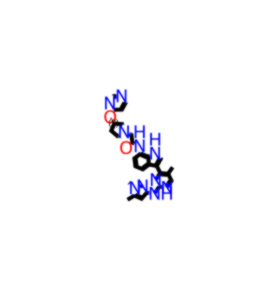 Cc1cnc(Nc2cc(C)n(C)n2)nc1-c1c[nH]c2c(NC(=O)CN3CC[C@H](Oc4ccncn4)C3)cccc12